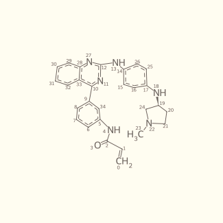 C=CC(=O)Nc1cccc(-c2nc(Nc3ccc(N[C@H]4CCN(C)C4)cc3)nc3ccccc23)c1